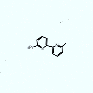 CCCc1cccc(-c2cccc(C)n2)n1